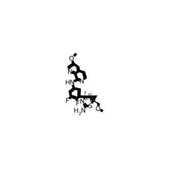 COC[C@]12C[C@H]1[C@](C)(c1cc(Nc3nccc4cc(OC)cnc34)cc(F)c1F)N=C(N)S2